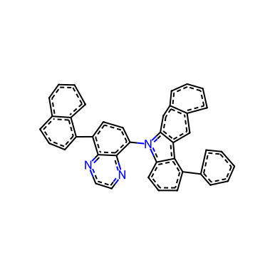 c1ccc(-c2cccc3c2c2cc4ccccc4cc2n3-c2ccc(-c3cccc4ccccc34)c3nccnc23)cc1